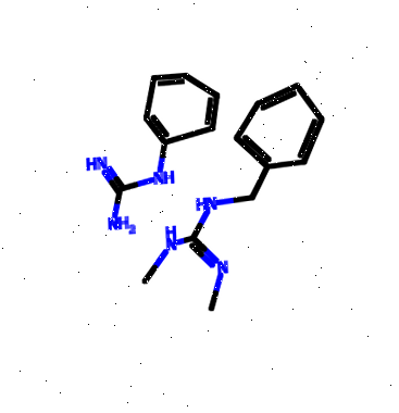 CN=C(NC)NCc1ccccc1.N=C(N)Nc1ccccc1